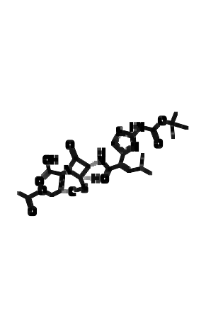 CC(=O)OCC1=C(C(=O)O)N2C(=O)[C@H](NC(=O)C(=CC(C)C)c3csc(NC(=O)OC(C)(C)C)n3)[C@H]2SC1